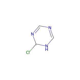 Cl[C]1N=CN=CN1